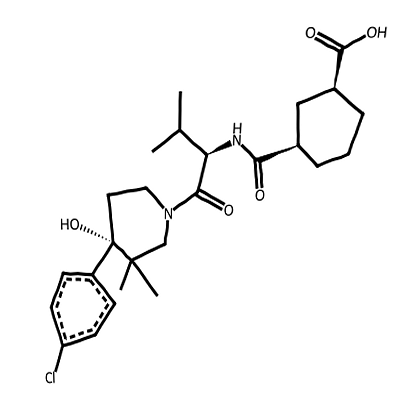 CC(C)[C@@H](NC(=O)[C@@H]1CCC[C@H](C(=O)O)C1)C(=O)N1CC[C@](O)(c2ccc(Cl)cc2)C(C)(C)C1